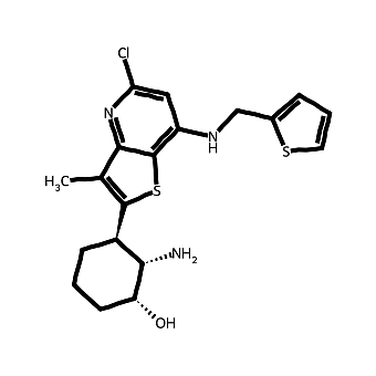 Cc1c([C@@H]2CCC[C@@H](O)[C@H]2N)sc2c(NCc3cccs3)cc(Cl)nc12